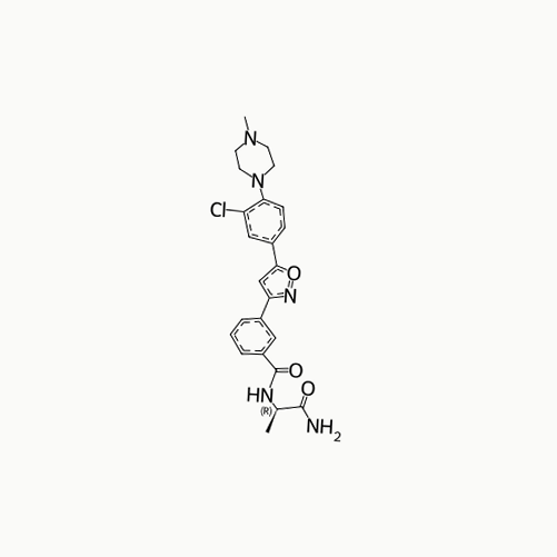 C[C@@H](NC(=O)c1cccc(-c2cc(-c3ccc(N4CCN(C)CC4)c(Cl)c3)on2)c1)C(N)=O